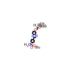 CN(C(=O)OC(C)(C)C)c1ccc(-c2cnc3cc(OCCO[Si](C)(C)C(C)(C)C)ccc3n2)cc1